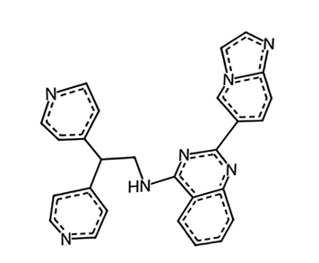 c1ccc2c(NCC(c3ccncc3)c3ccncc3)nc(-c3ccc4nccn4c3)nc2c1